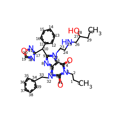 CCCn1c(=O)c2c(nc(C(c3ccccc3)c3ncon3)n2CCNCC(O)CC)n(CCc2ccccc2)c1=O